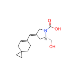 O=C(O)N1CC(=CC2=CCC3(CC2)CC3)C[C@H]1CO